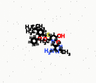 CC(=C(CCO)SC(=O)c1ccc(C(C)(C)C)cc1Oc1ccccc1)N(C=O)Cc1cnc(C)nc1N